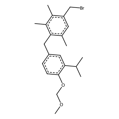 COCOc1ccc(Cc2c(C)cc(CBr)c(C)c2C)cc1C(C)C